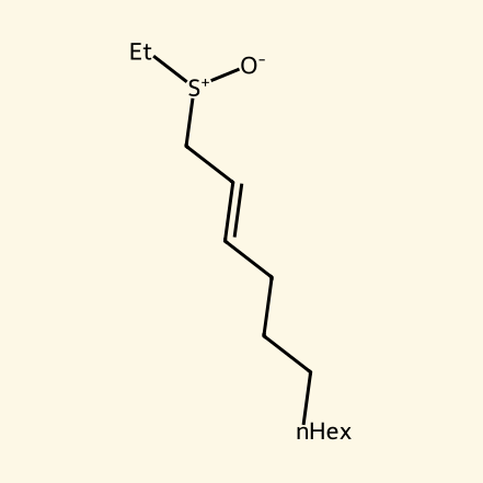 CCCCCCCCC/C=C/C[S+]([O-])CC